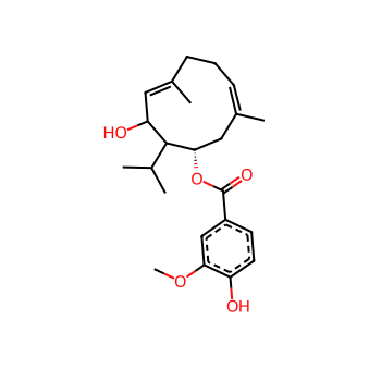 COc1cc(C(=O)O[C@H]2CC(C)=CCC/C(C)=C/C(O)C2C(C)C)ccc1O